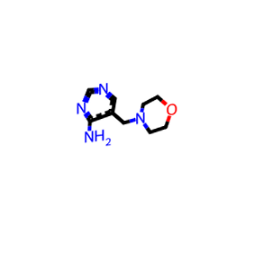 Nc1ncncc1CN1CCOCC1